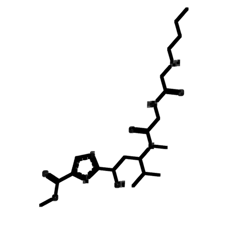 CCCCNCC(=O)NCC(=O)N(C)C(CC(O)c1nc(C(=O)OC)cs1)C(C)C